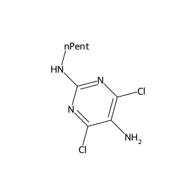 CCCCCNc1nc(Cl)c(N)c(Cl)n1